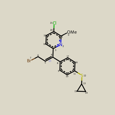 COc1nc(/C(=C\CBr)c2ccc(SC3CC3)cc2)ccc1Cl